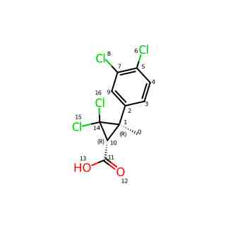 C[C@]1(c2ccc(Cl)c(Cl)c2)[C@H](C(=O)O)C1(Cl)Cl